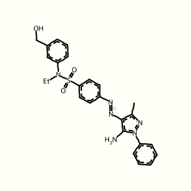 CCN(c1cccc(CO)c1)S(=O)(=O)c1ccc(/N=N/c2c(C)nn(-c3ccccc3)c2N)cc1